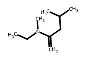 C=C(CC(C)C)N(C)CC